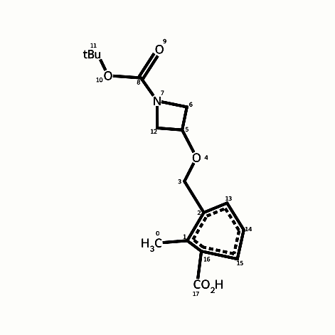 Cc1c(COC2CN(C(=O)OC(C)(C)C)C2)cccc1C(=O)O